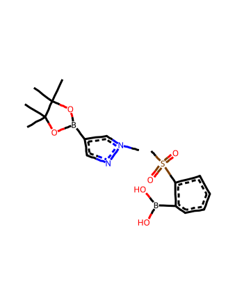 CS(=O)(=O)c1ccccc1B(O)O.Cn1cc(B2OC(C)(C)C(C)(C)O2)cn1